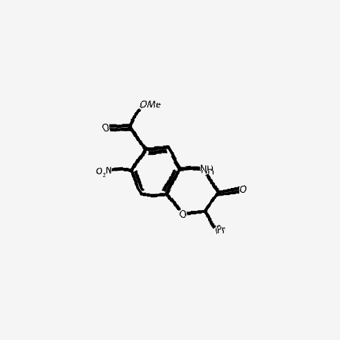 COC(=O)c1cc2c(cc1[N+](=O)[O-])OC(C(C)C)C(=O)N2